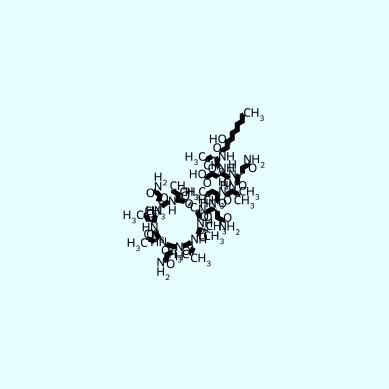 CCCCCCC[C@@H](O)CC(=O)N[C@@H](CC(C)C)C(=O)N[C@H](CCC(=O)O)C(=O)N[C@H](CCC(N)=O)C(=O)N[C@@H](C(=O)NC(CC(C)C)C(=O)N[C@@H](CCC(N)=O)C(=O)N[C@@H]1COC(=O)[C@H]([C@@H](C)CC)NC(=O)[C@@H](CCC(N)=O)NC(=O)[C@H](CC(C)C)NC(=O)[C@H](CC(C)C)NC(=O)[C@@H](CCC(N)=O)NC(=O)[C@@H](CC(C)C)NC(=O)[C@@H](C(C)C)NC1=O)C(C)C